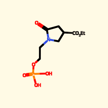 CCOC(=O)C1CC(=O)N(CCOP(=O)(O)O)C1